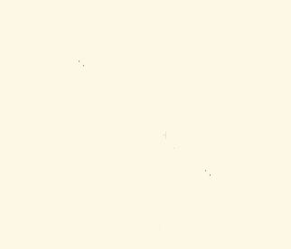 OC(Cc1cc(Cl)c2cccnc2c1OCc1ccccc1)c1ccc(CN2CCOCC2)cc1